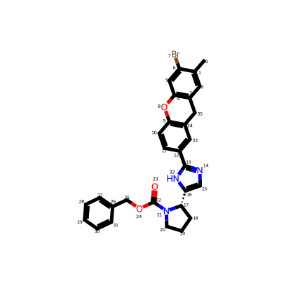 Cc1cc2c(cc1Br)Oc1ccc(-c3ncc([C@@H]4CCCN4C(=O)OCc4ccccc4)[nH]3)cc1C2